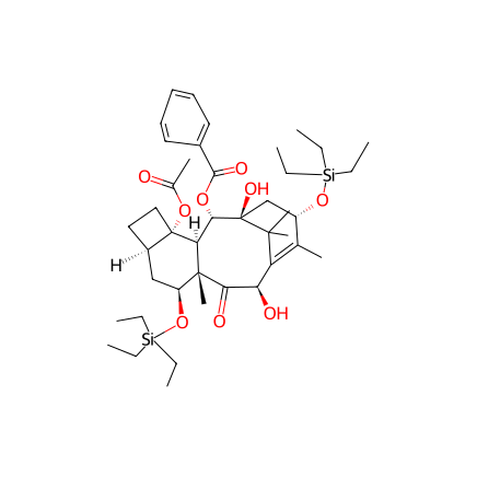 CC[Si](CC)(CC)O[C@H]1C[C@@]2(O)[C@@H](OC(=O)c3ccccc3)[C@@H]3[C@]4(OC(C)=O)CC[C@@H]4C[C@H](O[Si](CC)(CC)CC)[C@@]3(C)C(=O)[C@H](O)C(=C1C)C2(C)C